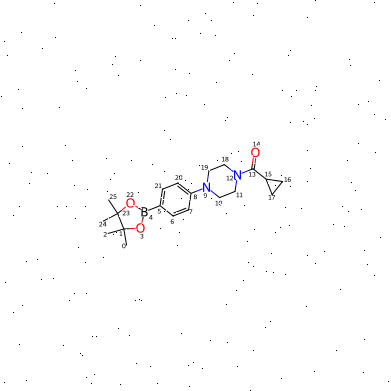 CC1(C)OB(c2ccc(N3CCN(C(=O)C4CC4)CC3)cc2)OC1(C)C